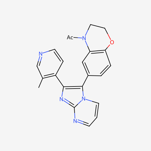 CC(=O)N1CCOc2ccc(-c3c(-c4ccncc4C)nc4ncccn34)cc21